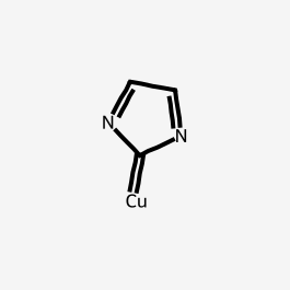 [Cu]=[C]1N=CC=N1